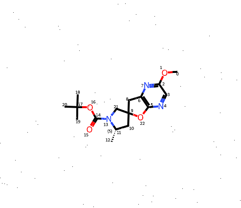 COc1cnc2c(n1)CC1(C[C@H](C)N(C(=O)OC(C)(C)C)C1)O2